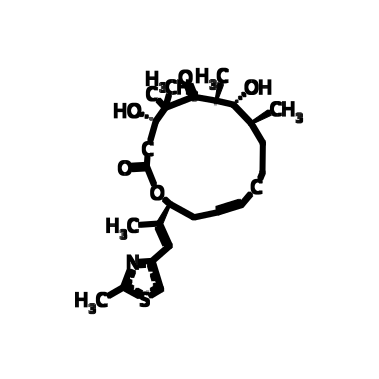 C/C(=C\c1csc(C)n1)[C@@H]1C/C=C\CCC[C@H](C)[C@@H](O)[C@H](C)C(=O)C(C)(C)[C@@H](O)CC(=O)O1